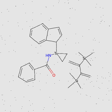 C=C(C(=C)[Si](C)(C)C)[Si](C)(C)C.O=C([NH][Ti]1([CH]2C=Cc3ccccc32)[CH2][CH2]1)c1ccccc1